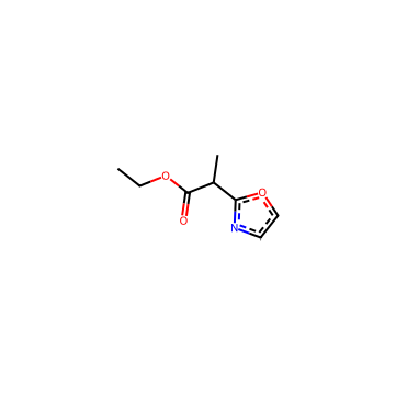 CCOC(=O)C(C)c1n[c]co1